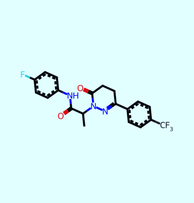 CC(C(=O)Nc1ccc(F)cc1)N1N=C(c2ccc(C(F)(F)F)cc2)CCC1=O